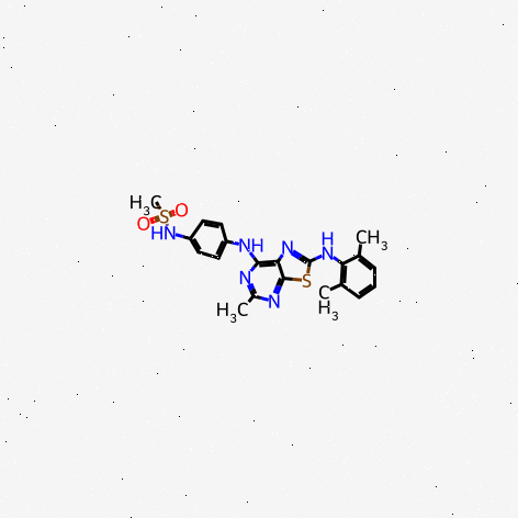 Cc1nc(Nc2ccc(NS(C)(=O)=O)cc2)c2nc(Nc3c(C)cccc3C)sc2n1